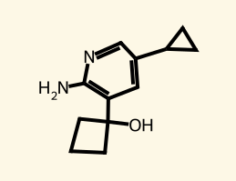 Nc1ncc(C2CC2)cc1C1(O)CCC1